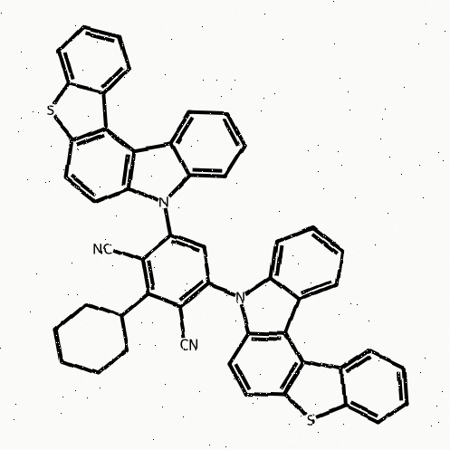 N#Cc1c(-n2c3ccccc3c3c4c(ccc32)sc2ccccc24)cc(-n2c3ccccc3c3c4c(ccc32)sc2ccccc24)c(C#N)c1C1CCCCC1